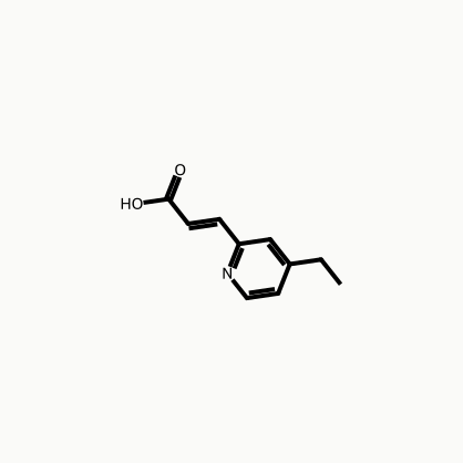 CCc1ccnc(/C=C/C(=O)O)c1